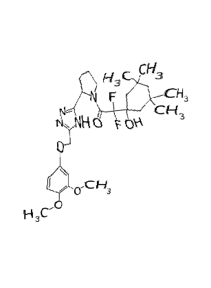 COc1ccc(OCc2nnc(C3CCCN3C(=O)C(F)(F)C3(O)CC(C)(C)CC(C)(C)C3)[nH]2)cc1OC